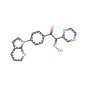 O=C(C(=NO)c1cnccn1)c1ccc(-n2ccc3cccnc32)cc1